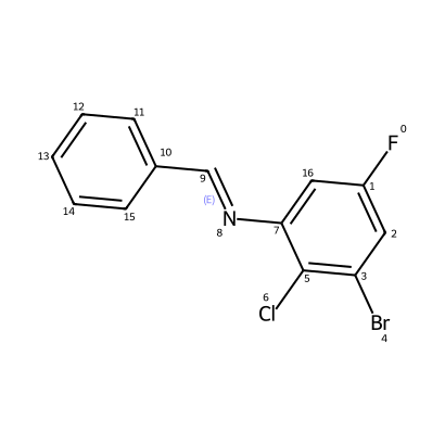 Fc1cc(Br)c(Cl)c(/N=C/c2ccccc2)c1